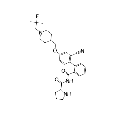 CC(C)(F)CN1CCC(COc2ccc(-c3ccccc3C(=O)NC(=O)[C@@H]3CCCN3)c(C#N)c2)CC1